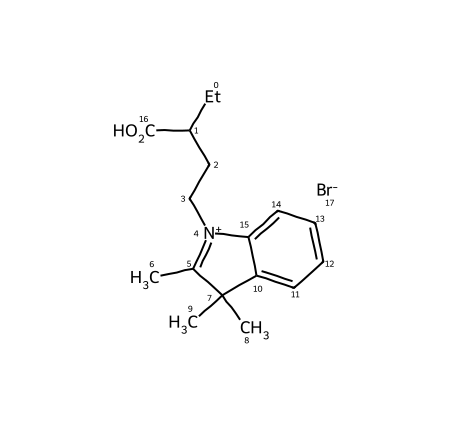 CCC(CC[N+]1=C(C)C(C)(C)c2ccccc21)C(=O)O.[Br-]